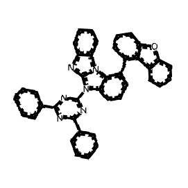 c1ccc(-c2nc(-c3ccccc3)nc(-n3c4cccc(-c5cccc6oc7ccccc7c56)c4n4c5ccccc5nc34)n2)cc1